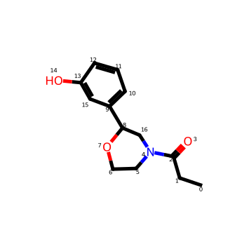 CCC(=O)N1CCOC(c2cccc(O)c2)C1